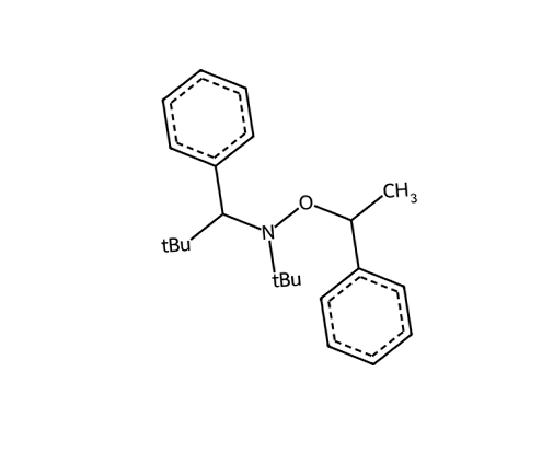 CC(ON(C(c1ccccc1)C(C)(C)C)C(C)(C)C)c1ccccc1